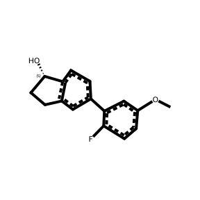 COc1ccc(F)c(-c2ccc3c(c2)CC[C@@H]3O)c1